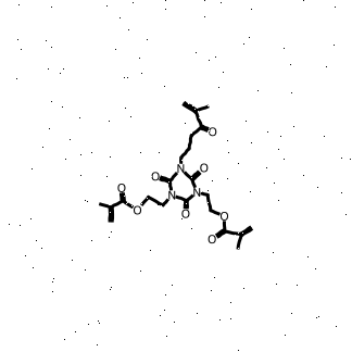 C=C(C)C(=O)CCCn1c(=O)n(CCOC(=O)C(=C)C)c(=O)n(CCOC(=O)C(=C)C)c1=O